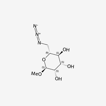 CO[C@H]1O[C@H](CN=[N+]=[N-])[C@@H](O)[C@H](O)[C@@H]1O